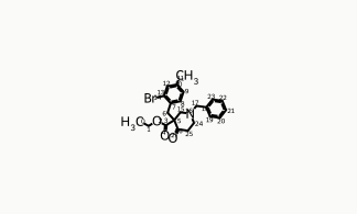 CCOC(=O)C1(Cc2ccc(C)cc2Br)CN(Cc2ccccc2)CCC1=O